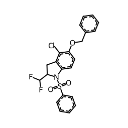 O=S(=O)(c1ccccc1)N1c2ccc(OCc3ccccc3)c(Cl)c2CC1C(F)F